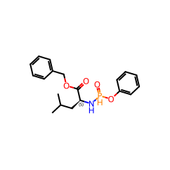 CC(C)C[C@H](N[PH](=O)Oc1ccccc1)C(=O)OCc1ccccc1